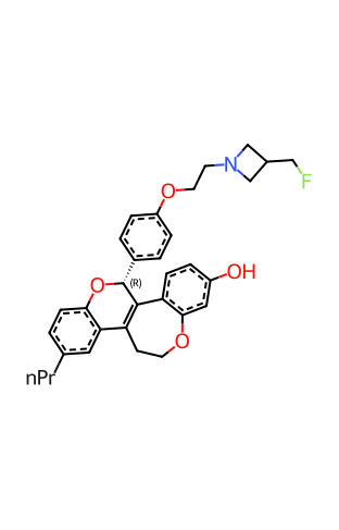 CCCc1ccc2c(c1)C1=C(c3ccc(O)cc3OCC1)[C@@H](c1ccc(OCCN3CC(CF)C3)cc1)O2